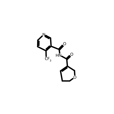 O=C(NC(=O)c1cnccc1C(F)(F)F)C1=CCCOC1